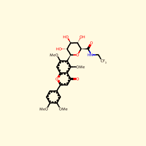 COc1ccc(-c2cc(=O)c3c(OC)c([C@@H]4O[C@H](C(=O)NCC(F)(F)F)[C@@H](O)[C@H](O)[C@H]4O)c(OC)cc3o2)cc1OC